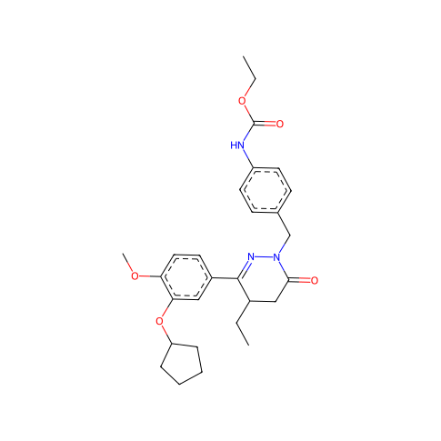 CCOC(=O)Nc1ccc(CN2N=C(c3ccc(OC)c(OC4CCCC4)c3)C(CC)CC2=O)cc1